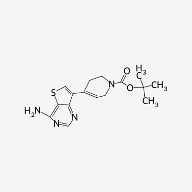 CC(C)(C)OC(=O)N1CC=C(c2csc3c(N)ncnc23)CC1